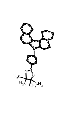 CC1(C)OB(c2ccc(-n3c4ccc5ccccc5c4c4c5ccccc5ccc43)cc2)OC1(C)C